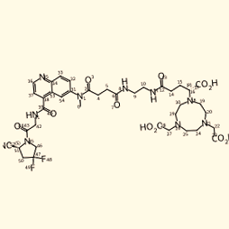 CN(C(=O)CCC(=O)NCCNC(=O)CC[C@H](C(=O)O)N1CCN(CC(=O)O)CCN(CC(=O)O)CC1)c1ccc2nccc(C(=O)NCC(=O)N3CC(F)(F)C[C@H]3C#N)c2c1